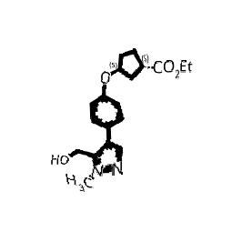 CCOC(=O)[C@H]1CC[C@H](Oc2ccc(-c3cnn(C)c3CO)cc2)C1